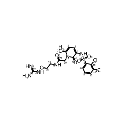 Cc1ccc(NS(=O)(=O)c2cccc(Cl)c2Cl)c(=O)n1CC(=O)NCCONC(=N)N